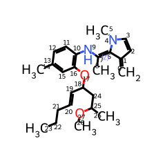 C=c1ccn(C)/c1=C(/C)Nc1ccc(C)cc1OC(C=CCCC)CC(C)OC